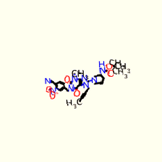 CC#CCn1c(N2CCC[C@@H](NC(=O)OC(C)(C)C)C2)nc2c1c(=O)n(Cc1ccc(C#N)c([N+](=O)[O-])c1)c(=O)n2C